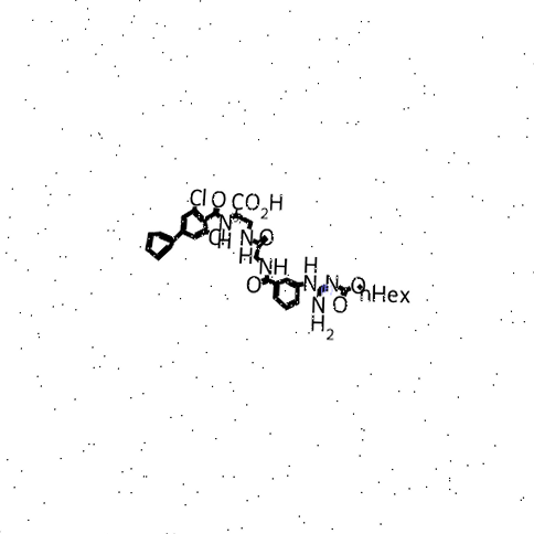 CCCCCCOC(=O)/N=C(\N)Nc1cccc(C(=O)NCC(=O)NC[C@H](NC(=O)c2c(Cl)cc(-c3ccccc3)cc2Cl)C(=O)O)c1